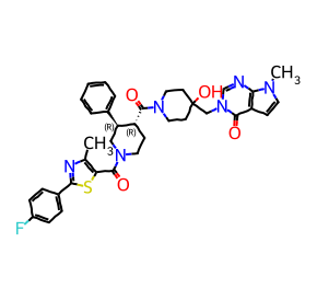 Cc1nc(-c2ccc(F)cc2)sc1C(=O)N1CC[C@@H](C(=O)N2CCC(O)(Cn3cnc4c(ccn4C)c3=O)CC2)[C@H](c2ccccc2)C1